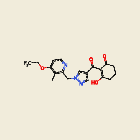 Cc1c(OCC(F)(F)F)ccnc1Cn1cc(C(=O)C2=C(O)CCCC2=O)cn1